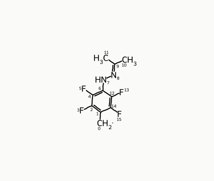 [CH2]c1c(F)c(F)c(NN=C(C)C)c(F)c1F